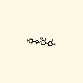 O=C1[C@H](F)[C@@H](c2ccc(F)c(F)c2)CCN1C12CC(c3ccncc3)(C1)C2